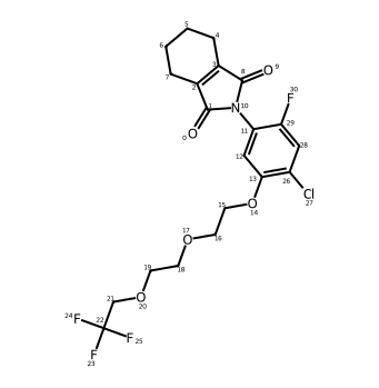 O=C1C2=C(CCCC2)C(=O)N1c1cc(OCCOCCOCC(F)(F)F)c(Cl)cc1F